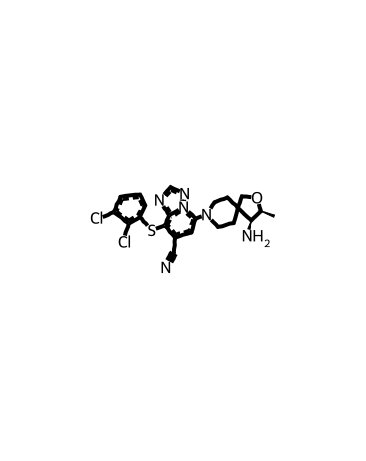 C[C@@H]1OCC2(CCN(c3cc(C#N)c(Sc4cccc(Cl)c4Cl)c4ncnn34)CC2)[C@@H]1N